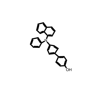 Oc1ccc(-c2ccc(N(c3ccccc3)c3cccc4ccccc34)cc2)cc1